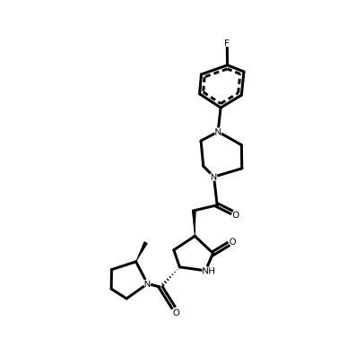 C[C@@H]1CCCN1C(=O)[C@@H]1C[C@@H](CC(=O)N2CCN(c3ccc(F)cc3)CC2)C(=O)N1